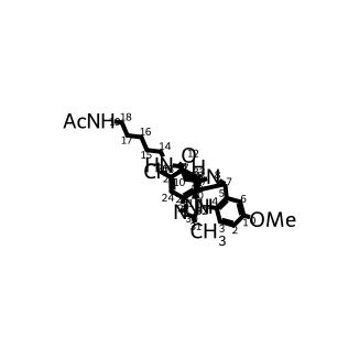 COc1ccc2c(c1)C1=N[C@@H](CC(=O)NCCCCCNC(C)=O)C3NN(c4cc(Cl)ccc41)C(C)N23